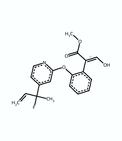 C=CC(C)(F)c1ccnc(Oc2ccccc2/C(=C\O)C(=O)OC)c1